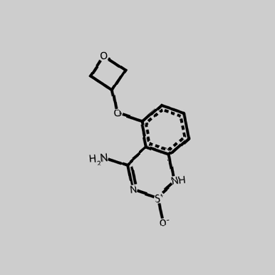 NC1=N[S+]([O-])Nc2cccc(OC3COC3)c21